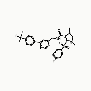 C[C@@H]1C[C@H](C)[C@@H](C(=O)NCc2cc(-c3ccc(C(F)(F)F)cc3)ncn2)N1S(=O)(=O)c1ccc(F)cc1